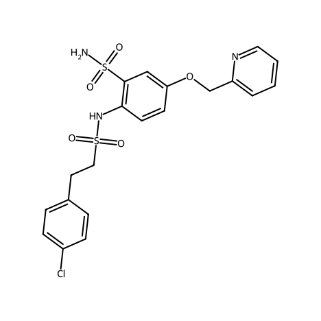 NS(=O)(=O)c1cc(OCc2ccccn2)ccc1NS(=O)(=O)CCc1ccc(Cl)cc1